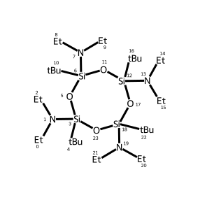 CCN(CC)[Si]1(C(C)(C)C)O[Si](N(CC)CC)(C(C)(C)C)O[Si](N(CC)CC)(C(C)(C)C)O[Si](N(CC)CC)(C(C)(C)C)O1